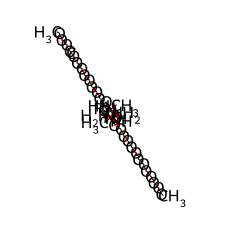 CCCNC1(CCNC(=O)CCOCCOCCOCCOCCOCCOCCOCCOCCOCCOCCOCCOC)N=C(C(N)=O)C(CCNC(=O)CCOCCOCCOCCOCCOCCOCCOCCOCCOCCOCCOCCOC)(NCCC)N=C1C(N)=O